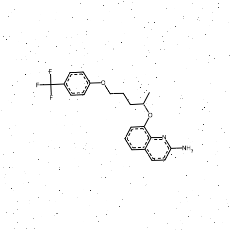 CC(CCCOc1ccc(C(F)(F)F)cc1)Oc1cccc2ccc(N)nc12